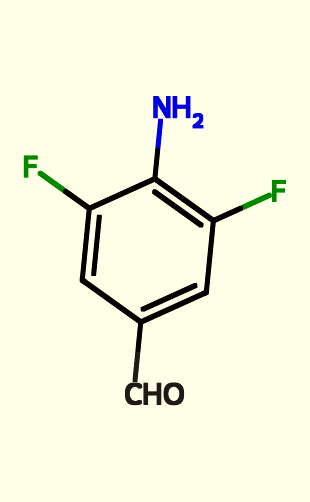 Nc1c(F)cc(C=O)cc1F